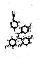 N#Cc1ccc(O[C@@H](c2ccc(F)cc2)[C@H](c2ccc(F)cc2)n2cc(F)ccc2=O)cc1